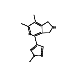 Cc1nc(-c2cnn(C)c2)c2c(c1C)CNC2